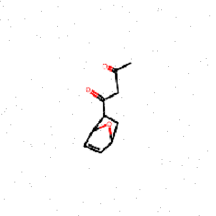 CC(=O)CC(=O)C1CC2C=CC1O2